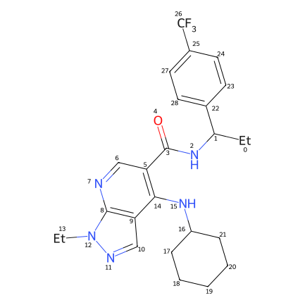 CCC(NC(=O)c1cnc2c(cnn2CC)c1NC1CCCCC1)c1ccc(C(F)(F)F)cc1